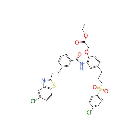 CCOC(=O)COc1ccc(CCCS(=O)(=O)c2ccc(Cl)cc2)cc1NC(=O)c1cccc(C=Cc2nc3cc(Cl)ccc3s2)c1